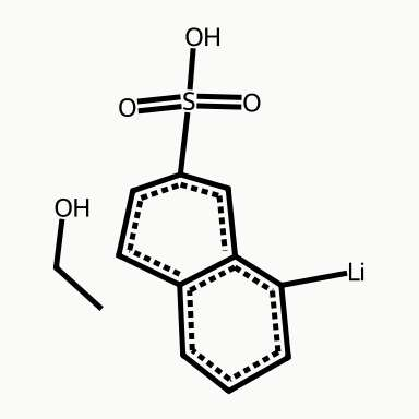 CCO.[Li][c]1cccc2ccc(S(=O)(=O)O)cc12